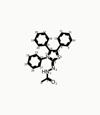 CC(=O)NN=c1sc(-c2ccccc2)c(-c2ccccc2)n1-c1ccccc1